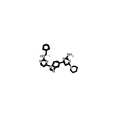 C[C@H](Nc1nccc(-n2cnc3cc(-c4cc(N5CCCCC5)nc(N)n4)ccc32)n1)c1ccccc1